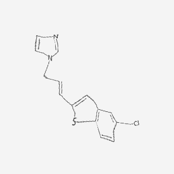 Clc1ccc2sc(C=CCn3ccnc3)cc2c1